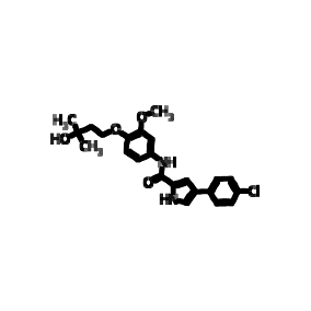 COc1cc(NC(=O)c2cc(-c3ccc(Cl)cc3)c[nH]2)ccc1OCCC(C)(C)O